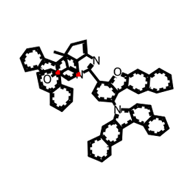 CC1C/C=C(c2ccc3oc4ccccc4c3c2)/N=C(c2ccc(-n3c4cc5ccccc5cc4c4c5ccccc5ccc43)c3c2oc2cc4ccccc4cc23)\N=C/1c1cccc2ccccc12